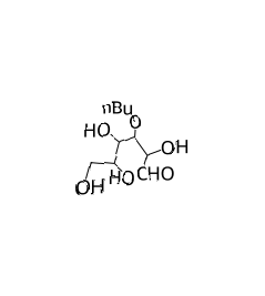 CCCCOC(C(O)C=O)C(O)C(O)CO